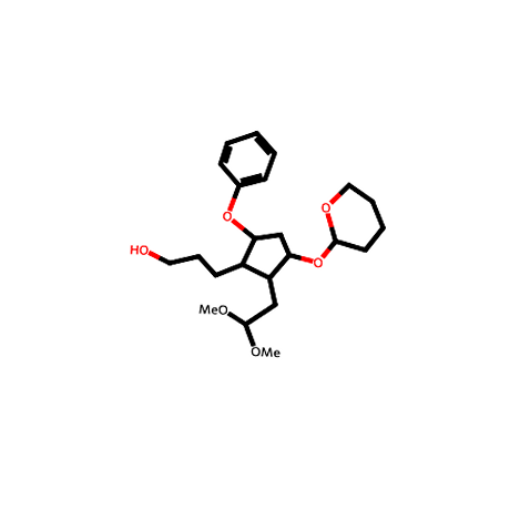 COC(CC1C(OC2CCCCO2)CC(Oc2ccccc2)C1CCCO)OC